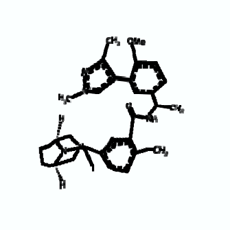 COc1ccc([C@@H](C)NC(=O)c2cc(N3C[C@H]4CC[C@@H](C3)N4CI)ccc2C)cc1-c1cn(C)nc1C